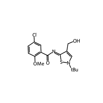 COc1ccc(Cl)cc1C(=O)/N=c1\sn(C(C)(C)C)cc1CO